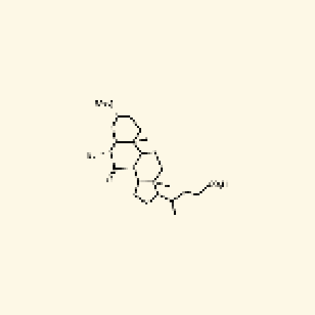 CC[C@H]1C(=O)C2C3CCC([C@H](C)CCC(=O)O)[C@@]3(C)CCC2[C@@]2(C)CC[C@@H](OC)CC12